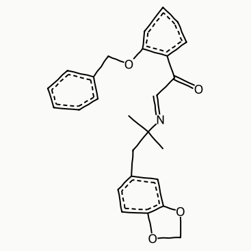 CC(C)(Cc1ccc2c(c1)OCO2)/N=C/C(=O)c1ccccc1OCc1ccccc1